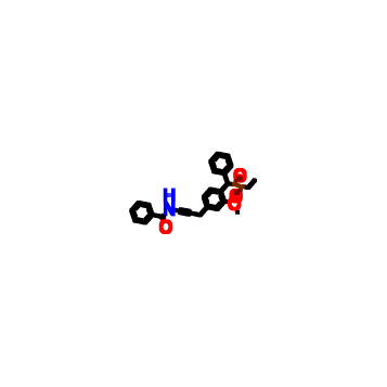 CCS(=O)(=O)C(c1ccccc1)c1ccc(CC#CNC(=O)c2ccccc2)cc1OC